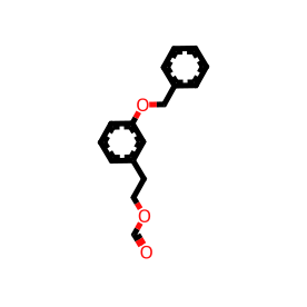 O=COCCc1cccc(OCc2ccccc2)c1